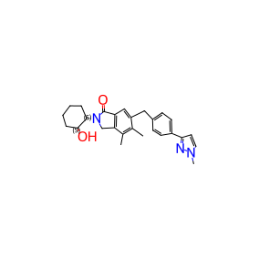 Cc1c(Cc2ccc(-c3ccn(C)n3)cc2)cc2c(c1C)CN([C@H]1CCCC[C@@H]1O)C2=O